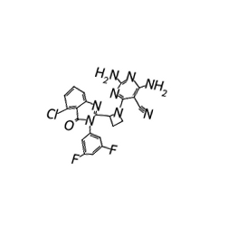 N#Cc1c(N)nc(N)nc1N1CCC1c1nc2cccc(Cl)c2c(=O)n1-c1cc(F)cc(F)c1